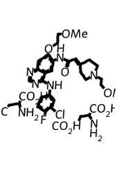 COCCOc1cc2ncnc(Nc3ccc(F)c(Cl)c3)c2cc1NC(=O)C=C1CCN(CCOC)CC1.NC(CC(=O)O)C(=O)O.NC(CC(=O)O)C(=O)O